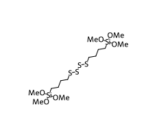 CO[Si](CCCCSSSSCCCC[Si](OC)(OC)OC)(OC)OC